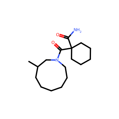 CC1CCCCCCN(C(=O)C2(C(N)=O)CCCCC2)C1